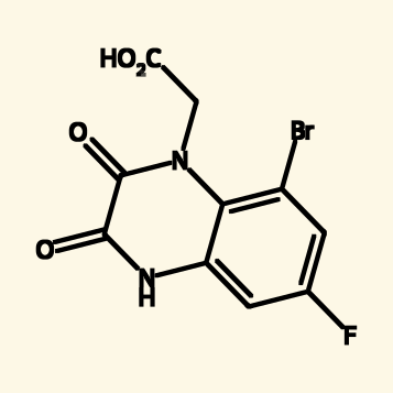 O=C(O)Cn1c(=O)c(=O)[nH]c2cc(F)cc(Br)c21